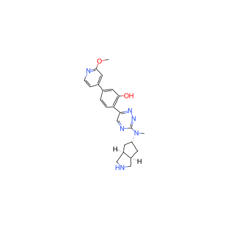 COc1cc(-c2ccc(-c3cnc(N(C)[C@@H]4C[C@H]5CNC[C@H]5C4)nn3)c(O)c2)ccn1